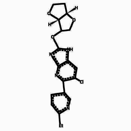 CCc1ccc(-c2nc3nc(OC4CO[C@@H]5CCO[C@H]45)[nH]c3cc2Cl)cn1